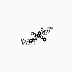 COc1cc2cc(C(=O)N3CC(CCl)c4c3cc(OCc3ccccc3)c3cc(NC(=O)CNC(=O)OC(C)(C)C)ccc43)[nH]c2cc1OC